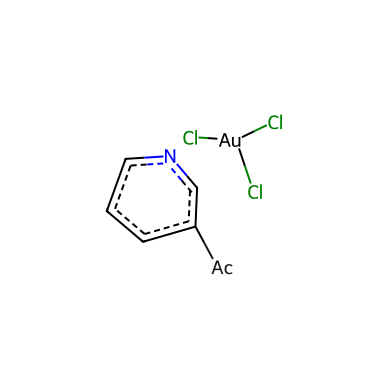 CC(=O)c1cccnc1.[Cl][Au]([Cl])[Cl]